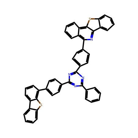 c1ccc(-c2nc(-c3ccc(-c4nc5c6ccccc6sc5c5ccccc45)cc3)nc(-c3ccc(-c4cccc5c4sc4ccccc45)cc3)n2)cc1